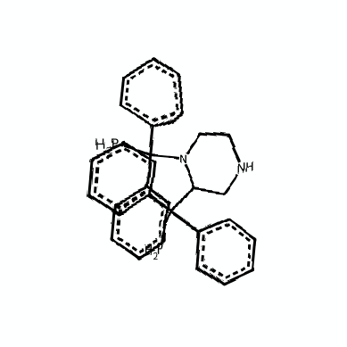 PC(c1ccccc1)(c1ccccc1)C1CNCCN1C(P)(c1ccccc1)c1ccccc1